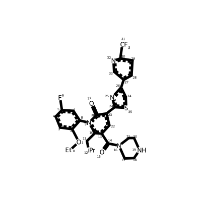 CCOc1ccc(F)cc1-n1c(CC(C)C)c(C(=O)N2CCNCC2)cc(-c2nc(-c3ccc(C(F)(F)F)nc3)cs2)c1=O